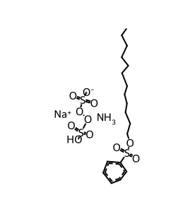 CCCCCCCCCCCCOS(=O)(=O)c1ccccc1.N.O=S(=O)([O-])OOS(=O)(=O)O.[Na+]